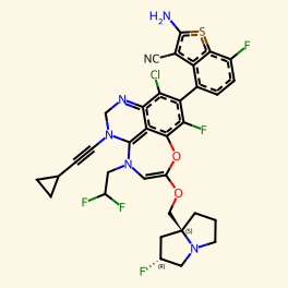 N#Cc1c(N)sc2c(F)ccc(-c3c(F)c4c5c(c3Cl)=NCN(C#CC3CC3)C=5N(CC(F)F)C=C(OC[C@@]35CCCN3C[C@H](F)C5)O4)c12